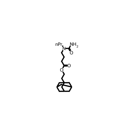 CCCN(CCCC(=O)OCCC12CC3CC(CC(C3)C1)C2)C(N)=O